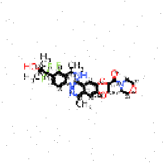 Cc1nnc(N[C@H](C)c2cccc(C(F)(F)C(C)(C)O)c2F)c2cc3c(cc12)OCC(C(=O)N1CCOCC1)O3